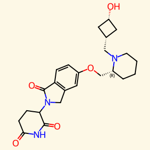 O=C1CCC(N2Cc3cc(OC[C@H]4CCCCN4C[C@H]4C[C@@H](O)C4)ccc3C2=O)C(=O)N1